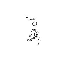 CCCN[C@H](C)c1ccc(Cn2ncc3nc(N)nc(N[C@H](C)CCC)c3c2=O)cc1